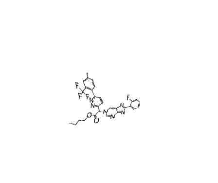 CCCCOC(=O)C(c1ccc(-c2ccc(C)cc2C(F)(F)F)nn1)n1cnc2nc(-c3ccccc3F)nc-2c1